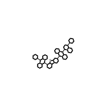 c1ccc(-c2ccc(-c3c4ccccc4c(-c4ccc5c(c4)sc4c(-c6c7ccccc7c(-c7ccccc7)c7ccccc67)cccc45)c4ccccc34)c3ccccc23)cc1